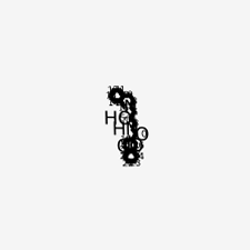 O=C(NC[C@H](O)CN1CCc2ccccc2C1)C1COc2ccccc2O1